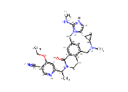 CCOc1cc(C(C)N2CCc3c(CN(C)C4CC4)cc(Cn4ccnc4NC)cc3C2=O)ncc1C#N